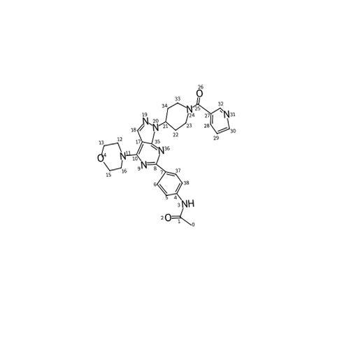 CC(=O)Nc1ccc(-c2nc(N3CCOCC3)c3cnn(C4CCN(C(=O)c5cccnc5)CC4)c3n2)cc1